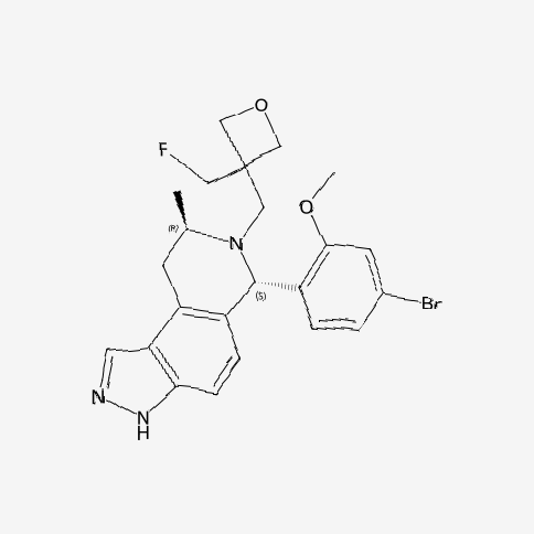 COc1cc(Br)ccc1[C@@H]1c2ccc3[nH]ncc3c2C[C@@H](C)N1CC1(CF)COC1